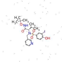 CC(C)[C@H](C(=O)NOC(C)(C)C)N(Cc1cccnc1)S(=O)(=O)c1ccc(O)c(I)c1